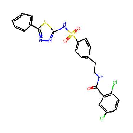 O=C(NCCc1ccc(S(=O)(=O)Nc2nnc(-c3ccccc3)s2)cc1)c1cc(Cl)ccc1Cl